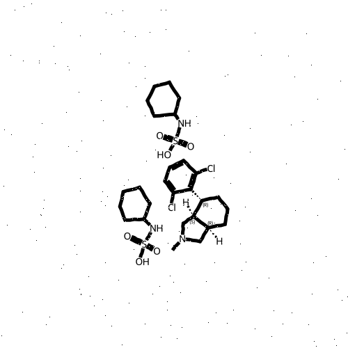 CN1C[C@@H]2CCC[C@@H](c3c(Cl)cccc3Cl)[C@@H]2C1.O=S(=O)(O)NC1CCCCC1.O=S(=O)(O)NC1CCCCC1